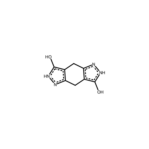 Oc1[nH]nc2c1Cc1n[nH]c(O)c1C2